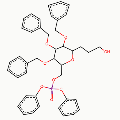 O=P(OCC1OC(CCCO)C(OCc2ccccc2)C(OCc2ccccc2)C1OCc1ccccc1)(Oc1ccccc1)Oc1ccccc1